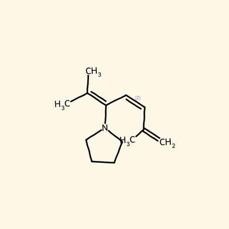 C=C(C)/C=C\C(=C(C)C)N1CCCC1